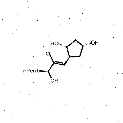 CCCCC[C@H](O)C(Cl)=C[C@@H]1[CH][C@@H](O)C[C@H]1O